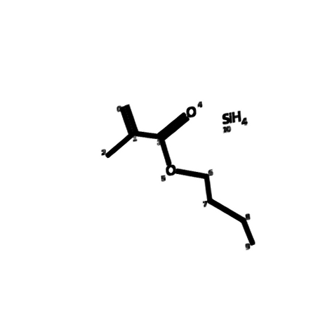 C=C(C)C(=O)OCCCC.[SiH4]